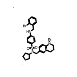 CCN1CCCc2cc(CN(C3CCCC3)S(=O)(=O)c3ccc(NCc4ccccc4Br)cc3)ccc21